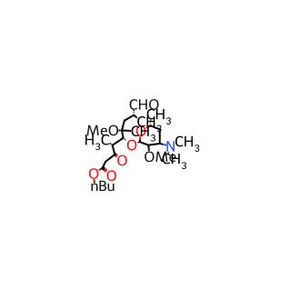 CCCCOC(=O)CC(=O)[C@H](C)[C@@H](O[C@@H]1O[C@H](C)CC(N(C)C)C1OC)[C@@](C)(C[C@@H](C)C=O)OC